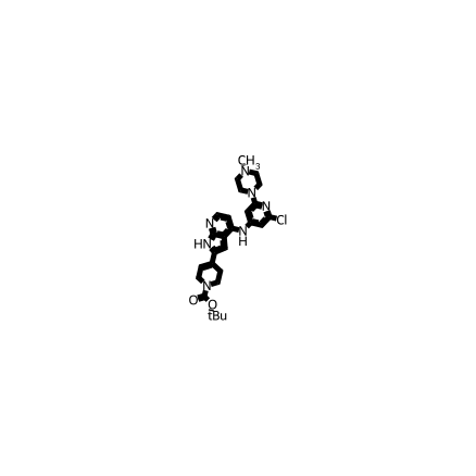 CN1CCN(c2cc(Nc3ccnc4[nH]c(C5=CCN(C(=O)OC(C)(C)C)CC5)cc34)cc(Cl)n2)CC1